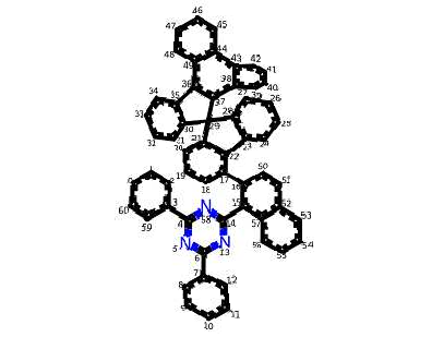 c1ccc(-c2nc(-c3ccccc3)nc(-c3c(-c4cccc5c4-c4ccccc4C54c5ccccc5-c5c4c4ccccc4c4ccccc54)ccc4ccccc34)n2)cc1